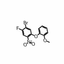 COc1ccccc1Oc1cc(Br)c(F)cc1[N+](=O)[O-]